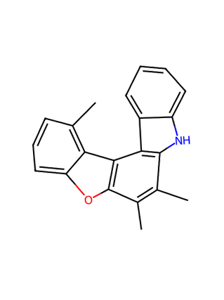 Cc1c(C)c2oc3cccc(C)c3c2c2c1[nH]c1ccccc12